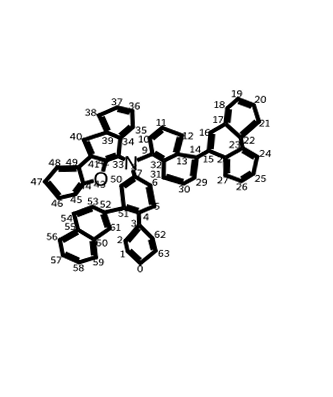 c1ccc(-c2ccc(N(c3cccc4c(-c5cc6ccccc6c6ccccc56)cccc34)c3c4ccccc4cc4c3oc3ccccc34)cc2-c2ccc3ccccc3c2)cc1